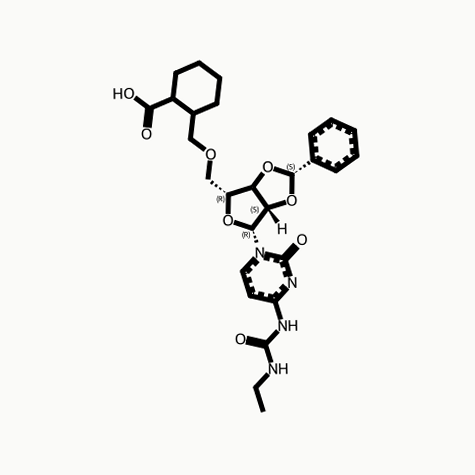 CCNC(=O)Nc1ccn([C@@H]2O[C@H](COCC3CCCCC3C(=O)O)C3O[C@H](c4ccccc4)O[C@@H]32)c(=O)n1